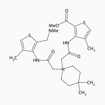 CNCc1scc(C)c1NC(=O)C[N+]1(CC(=O)Nc2c(C)csc2C(=O)OC)CCC(C)(C)CC1